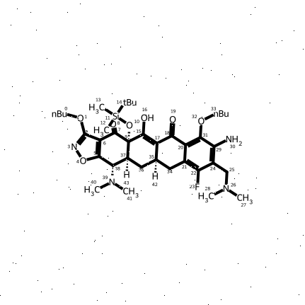 CCCCOc1noc2c1C(=O)[C@@]1(O[Si](C)(C)C(C)(C)C)C(O)=C3C(=O)c4c(c(F)c(CN(C)C)c(N)c4OCCCC)C[C@H]3C[C@H]1[C@@H]2N(C)C